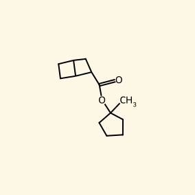 CC1(OC(=O)C2CC3CCC32)CCCC1